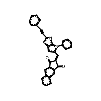 O=C1C(=Cc2cc3sc(C#Cc4ccccc4)nc3n2-c2ccccc2)C(=O)c2cc3ccccc3cc21